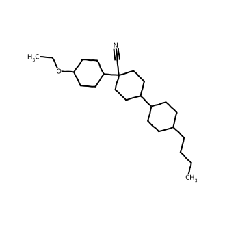 CCCCC1CCC(C2CCC(C#N)(C3CCC(OCC)CC3)CC2)CC1